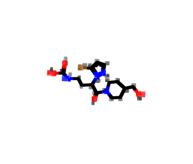 O=C(O)NCCC(C(=O)N1CCC(CO)CC1)n1nccc1Br